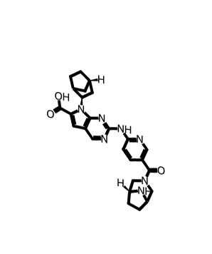 O=C(O)c1cc2cnc(Nc3ccc(C(=O)N4CC5CC[C@H](C4)N5)cn3)nc2n1[C@@H]1C[C@H]2CCC1C2